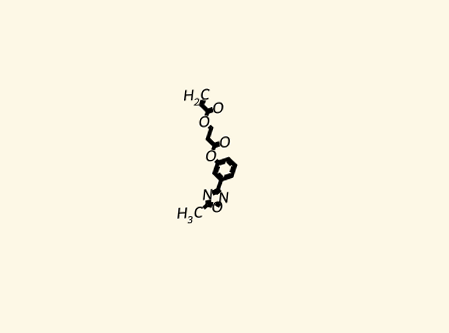 C=CC(=O)OCCC(=O)Oc1cccc(-c2noc(C)n2)c1